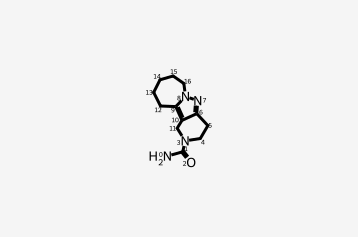 NC(=O)N1CCc2nn3c(c2C1)CCCCC3